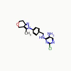 Cc1c2c(nn1-c1ccc(CNc3nc(Cl)ncc3N)cc1)CCOC2